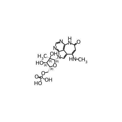 CNC1=CC(=O)Nc2ncnc3c2c1cn3[C@@H]1O[C@H](COP(=O)(O)O)[C@@H](O)[C@@]1(C)O